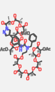 COc1cccc(CN(CCOC(=O)[C@H](C)OC(=O)[C@H](C)OC(=O)[C@H](C)OC(=O)[C@H](C)OC(=O)[C@H](C)OC(=O)[C@H](C)OC(C)=O)C(=O)Nc2ccc(-c3cnn(C(=O)[C@H](C)OC(=O)[C@H](C)OC(=O)[C@H](C)OC(=O)[C@H](C)OC(=O)[C@H](C)OC(=O)[C@H](C)OC(C)=O)c3)cc2)c1